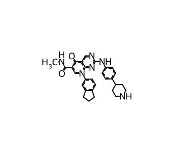 CNC(=O)c1cn(-c2ccc3c(c2)CCC3)c2nc(Nc3ccc(C4CCNCC4)cc3)ncc2c1=O